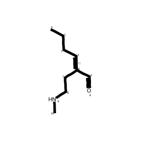 CCC/C=C(/C=O)CCNC